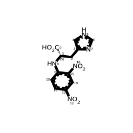 O=C(O)[C@H](Cc1c[nH]cn1)Nc1ccc([N+](=O)[O-])cc1[N+](=O)[O-]